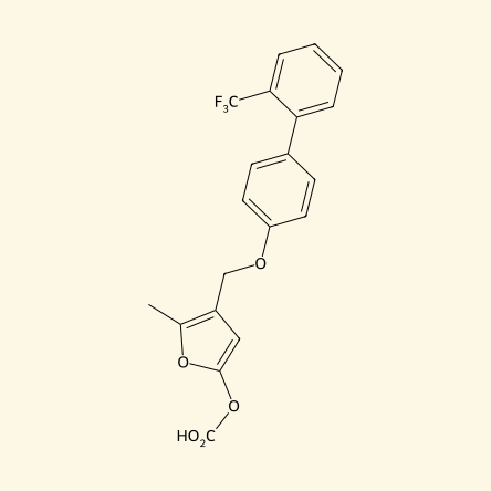 Cc1oc(OC(=O)O)cc1COc1ccc(-c2ccccc2C(F)(F)F)cc1